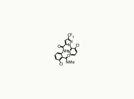 CNC(=O)c1c(Cl)cccc1NC(=O)c1cc(C(F)(F)F)nn1-c1ncccc1Cl